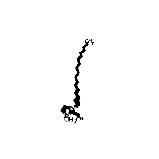 CCCCCCCCCCCCCCCCCC[n+]1ccn(C)c1CC